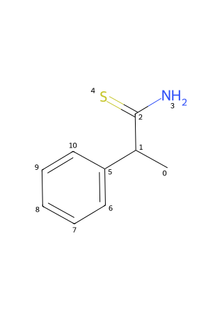 CC(C(N)=S)c1ccccc1